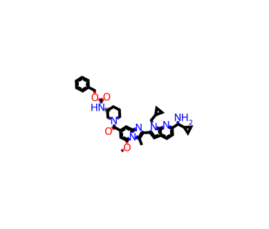 COc1cc(C(=O)N2CCC[C@@H](NC(=O)OCc3ccccc3)C2)cc2nc(-c3cc4ccc(C(N)C5CC5)nc4n3CC3CC3)c(C)n12